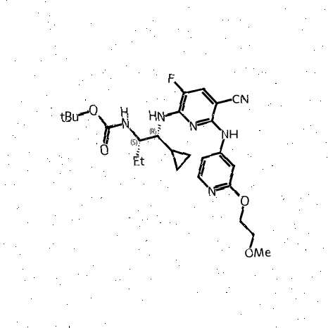 CC[C@H](NC(=O)OC(C)(C)C)[C@H](Nc1nc(Nc2ccnc(OCCOC)c2)c(C#N)cc1F)C1CC1